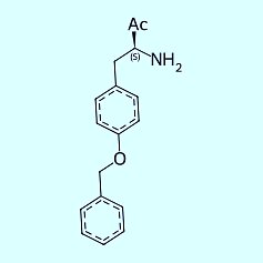 CC(=O)[C@@H](N)Cc1ccc(OCc2ccccc2)cc1